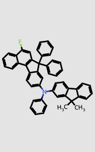 CC1(C)c2ccccc2-c2ccc(N(c3ccccc3)c3ccc4c(c3)C(c3ccccc3)(c3ccccc3)c3cc(F)c5ccccc5c3-4)cc21